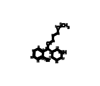 COCCCOC(c1ccccc1Br)[C@@H]1CCCNC1